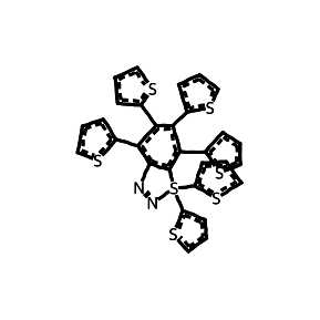 c1csc(-c2c3c(c(-c4cccs4)c(-c4cccs4)c2-c2cccs2)S(c2cccs2)(c2cccs2)N=N3)c1